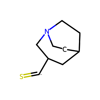 S=[C]C1CC2CCN(CC2)C1